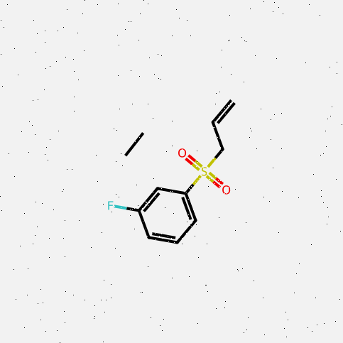 C=CCS(=O)(=O)c1cccc(F)c1.CC